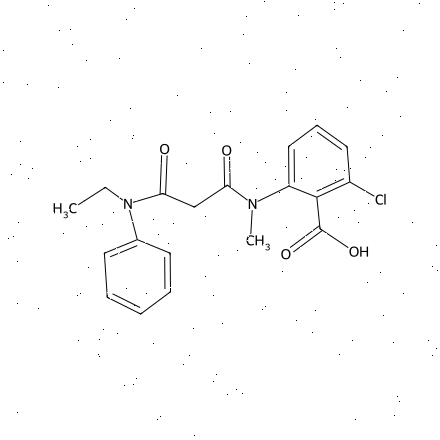 CCN(C(=O)CC(=O)N(C)c1cccc(Cl)c1C(=O)O)c1ccccc1